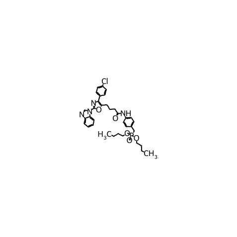 CCCCOP(=O)(Cc1ccc(NC(=O)CCCc2oc(-n3cnc4ccccc43)nc2-c2ccc(Cl)cc2)cc1)OCCCC